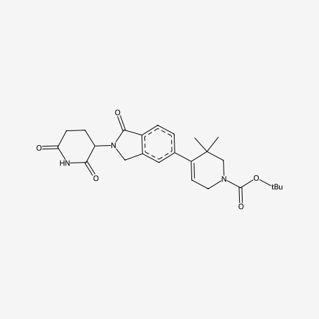 CC(C)(C)OC(=O)N1CC=C(c2ccc3c(c2)CN(C2CCC(=O)NC2=O)C3=O)C(C)(C)C1